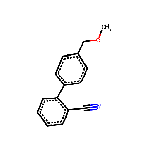 COCc1ccc(-c2ccccc2C#N)cc1